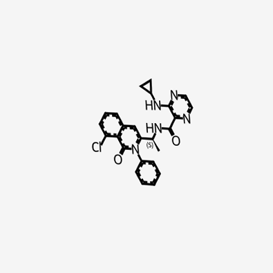 C[C@H](NC(=O)c1nccnc1NC1CC1)c1cc2cccc(Cl)c2c(=O)n1-c1ccccc1